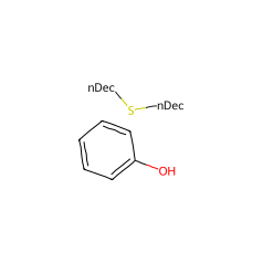 CCCCCCCCCCSCCCCCCCCCC.Oc1ccccc1